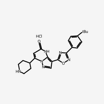 CC(C)(C)c1ccc(-c2noc(-c3cnn4c(C5CCNCC5)cc(=O)[nH]c34)n2)cc1.Cl